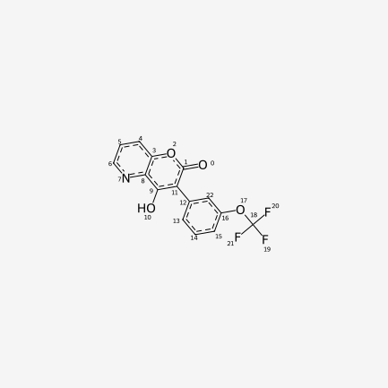 O=c1oc2cccnc2c(O)c1-c1cccc(OC(F)(F)F)c1